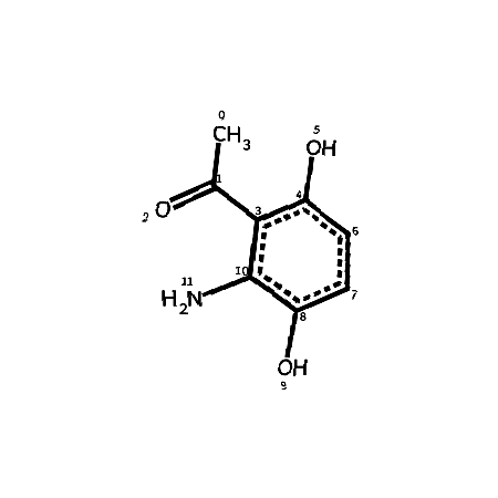 CC(=O)c1c(O)ccc(O)c1N